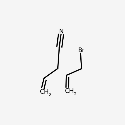 C=CCBr.C=CCC#N